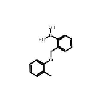 Cc1ccccc1OCc1ccccc1B(O)O